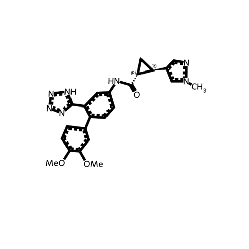 COc1ccc(-c2ccc(NC(=O)[C@@H]3C[C@H]3c3cnn(C)c3)cc2-c2nnn[nH]2)cc1OC